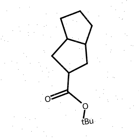 CC(C)(C)OC(=O)C1CC2CCCC2C1